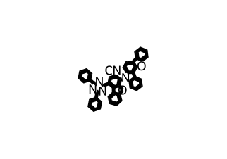 N#Cc1cc(-c2nc(-c3ccccc3)nc(-c3ccccc3)n2)c2c(oc3ccccc32)c1-n1c2ccccc2c2c3oc4ccccc4c3ccc21